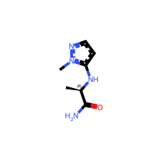 C[C@@H](Nc1ccnn1C)C(N)=O